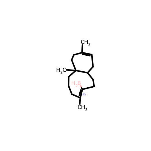 B/C1=C(/C)CCCC2(C)CCC(C)=CCC2CC1